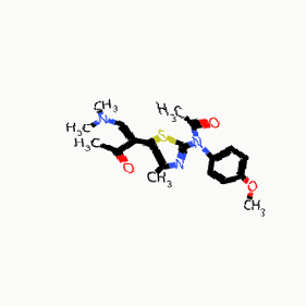 COc1ccc(N(C(C)=O)c2nc(C)c(C(=CN(C)C)C(C)=O)s2)cc1